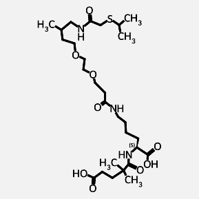 CC(CCOCCOCCC(=O)NCCCC[C@H](NC(=O)C(C)(C)CCC(=O)O)C(=O)O)CNC(=O)CSC(C)C